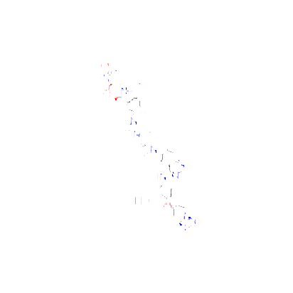 Cc1cc(Nc2ncnc3ccc(N4CC(CN5CCN(c6ccc7c(c6)C(=O)N(C6CCC(=O)NC6=O)C7=O)CC5)C4)cc23)ccc1Oc1ccn2ncnc2c1